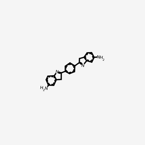 Nc1ccc2c(c1)CC(c1ccc(C3=Nc4cc(N)ccc4C3)cc1)=N2